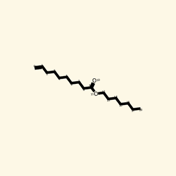 C=CCCCCCCCC(=O)OCCCCCCC